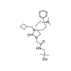 CN(C)[C@]1(c2ccccc2)CC[C@]2(CC1)CN(CC(=O)NCC(C)(C)O)C(=O)N2CC1CCC1